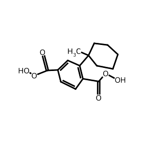 CC1(c2cc(C(=O)OO)ccc2C(=O)OO)CCCCC1